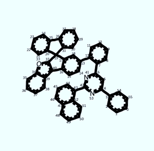 c1ccc(-c2cc(-c3ccccc3-c3ccc4c(c3)C3(c5ccccc5-c5ccccc53)c3oc5ccccc5c3-4)nc(-c3cccc4ccccc34)n2)cc1